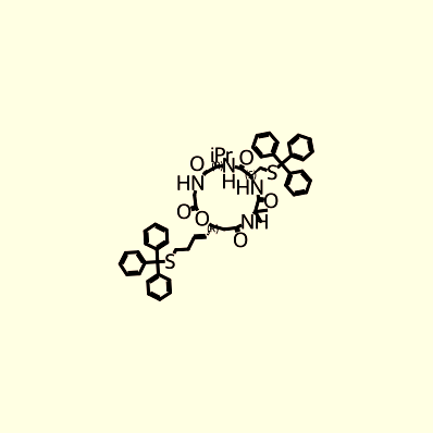 CC(C)[C@H]1NC(=O)[C@@H](CSC(c2ccccc2)(c2ccccc2)c2ccccc2)NC(=O)C(C)(C)NC(=O)C[C@H](C=CCCSC(c2ccccc2)(c2ccccc2)c2ccccc2)OC(=O)CNC1=O